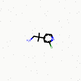 CC(C)(CN)c1ccnc(Cl)c1